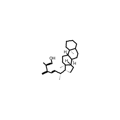 C=C(C=C[C@@H](C)[C@H]1CC[C@H]2[C@@H]3CCC4CCCC[C@]4(C)[C@H]3CC[C@]12C)C(C)=CO